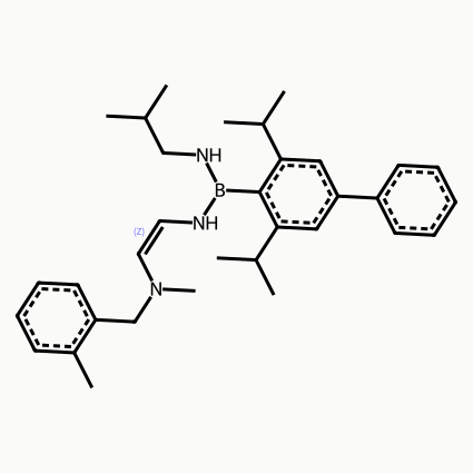 Cc1ccccc1CN(C)/C=C\NB(NCC(C)C)c1c(C(C)C)cc(-c2ccccc2)cc1C(C)C